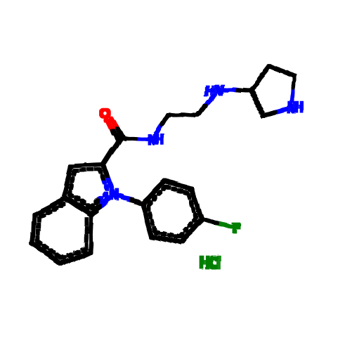 Cl.O=C(NCCNC1CCNC1)c1cc2ccccc2n1-c1ccc(F)cc1